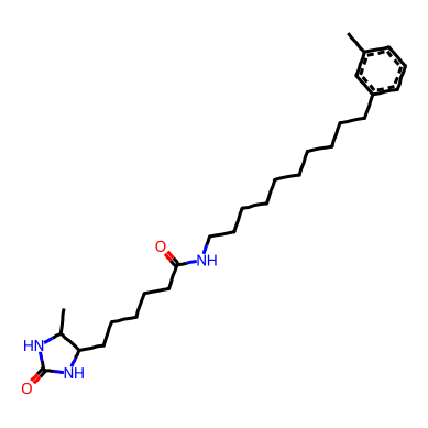 Cc1cccc(CCCCCCCCCCNC(=O)CCCCCC2NC(=O)NC2C)c1